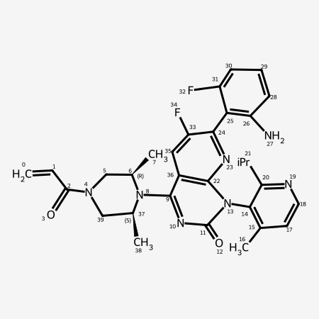 C=CC(=O)N1C[C@@H](C)N(c2nc(=O)n(-c3c(C)ccnc3C(C)C)c3nc(-c4c(N)cccc4F)c(F)cc23)[C@@H](C)C1